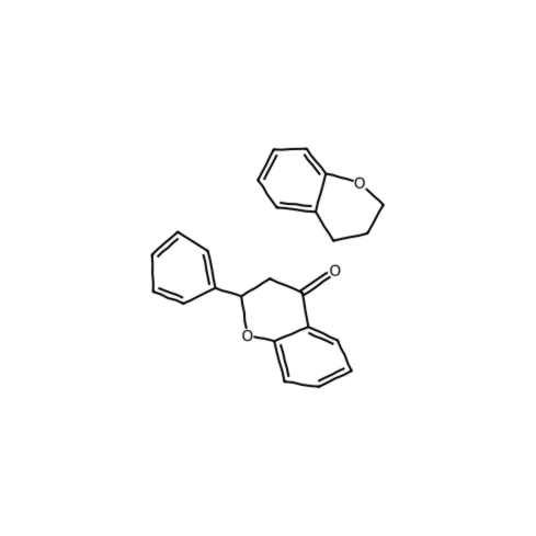 O=C1CC(c2ccccc2)Oc2ccccc21.c1ccc2c(c1)CCCO2